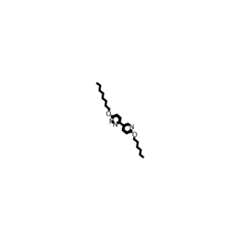 CCCCCCCCOc1ccc(-c2ccc(OCCCCCC)nc2)nn1